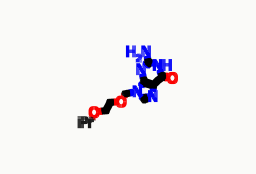 CC(C)OCCOCn1cnc2c(=O)[nH]c(N)nc21